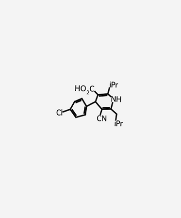 CC(C)CC1=C(C#N)C(c2ccc(Cl)cc2)C(C(=O)O)=C(C(C)C)N1